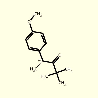 COc1ccc([C@@H](C)C(=O)C(C)(C)C)cc1